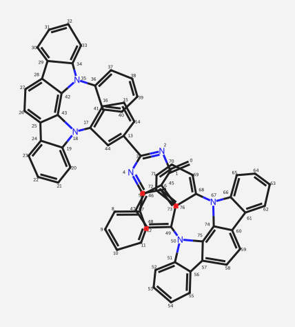 C=C(/N=C(\N=C(/C)c1ccccc1)c1cccc(-n2c3ccccc3c3ccc4c5ccccc5n(-c5ccccc5)c4c32)c1)c1cccc(-n2c3ccccc3c3ccc4c5ccccc5n(-c5ccccc5)c4c32)c1